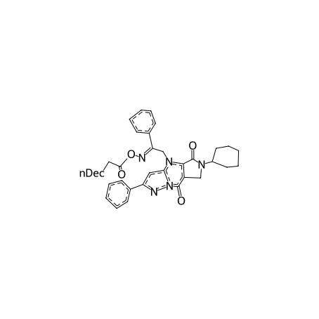 CCCCCCCCCCCC(=O)ON=C(Cn1c2c(c(=O)n3nc(-c4ccccc4)cc13)CN(C1CCCCC1)C2=O)c1ccccc1